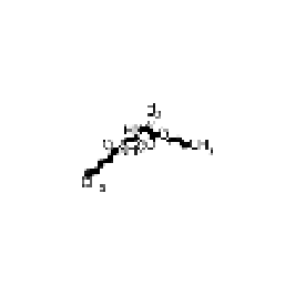 CCCCCC(=O)NCC(=O)NC(C)C(=O)OCCCC